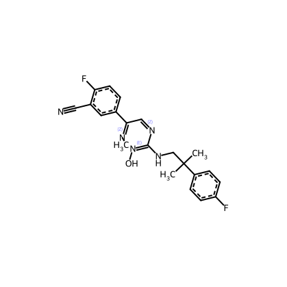 C\N=C(/C=N\C(=N\O)NCC(C)(C)c1ccc(F)cc1)c1ccc(F)c(C#N)c1